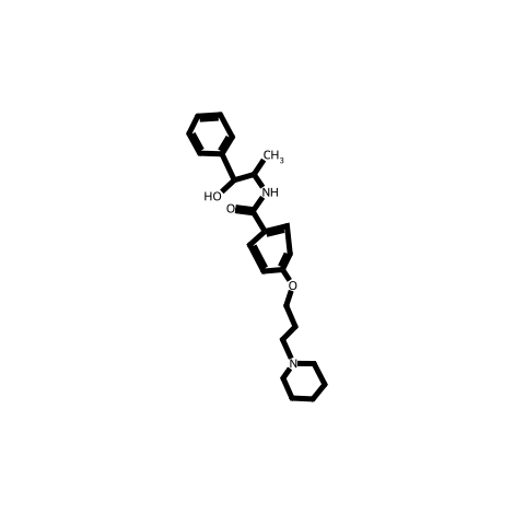 CC(NC(=O)c1ccc(OCCCN2CCCCC2)cc1)C(O)c1ccccc1